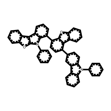 c1ccc(-n2c3ccccc3c3cc(-c4ccc(-c5cccc6c7c8ccccc8oc7n(-c7ccccc7)c56)c5oc6ccccc6c45)ccc32)cc1